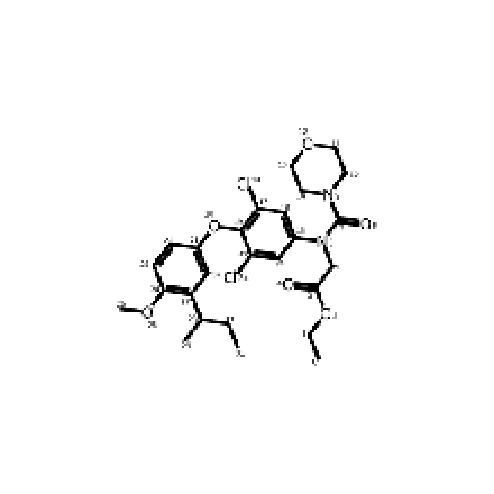 CCOC(=O)CN(C(=O)N1CCOCC1)c1cc(Cl)c(Oc2ccc(OC)c(C(C)CC)c2)c(Cl)c1